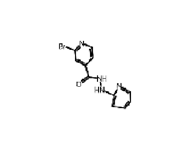 O=C(NNc1ccccn1)c1ccnc(Br)c1